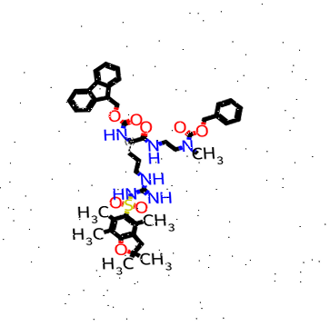 Cc1c(C)c(S(=O)(=O)NC(=N)NCCC[C@H](NC(=O)OCC2c3ccccc3-c3ccccc32)C(=O)NCCN(C)C(=O)OCc2ccccc2)c(C)c2c1OC(C)(C)C2